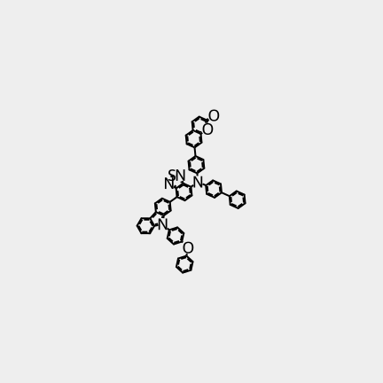 O=c1ccc2ccc(-c3ccc(N(c4ccc(-c5ccccc5)cc4)c4ccc(-c5ccc6c7ccccc7n(-c7ccc(Oc8ccccc8)cc7)c6c5)c5nsnc45)cc3)cc2o1